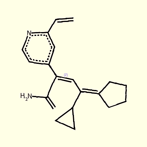 C=Cc1cc(/C(=C/C(=C2CCCC2)C2CC2)C(=C)N)ccn1